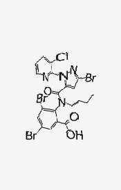 CCCCN(C(=O)c1cc(Br)nn1-c1ncccc1Cl)c1c(Br)cc(Br)cc1C(=O)O